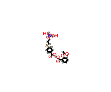 CC(=O)Oc1ccccc1C(=O)OCOC(=O)c1ccc(SCCCON(O)O)cc1